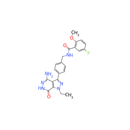 CCn1nc(-c2ccc(CNC(=O)c3cc(F)ccc3OC)cc2)c2c(N)n[nH]c(=O)c21